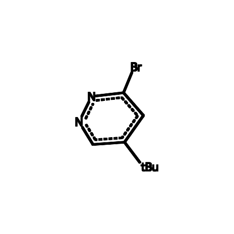 CC(C)(C)c1cnnc(Br)c1